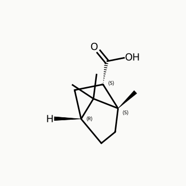 CC1(C)[C@@H]2CC[C@@]1(C)[C@@H](C(=O)O)C2